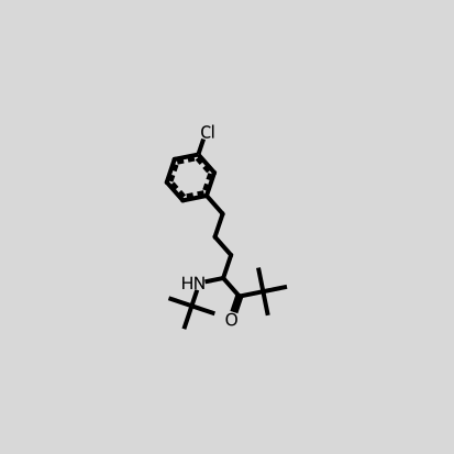 CC(C)(C)NC(CCCc1cccc(Cl)c1)C(=O)C(C)(C)C